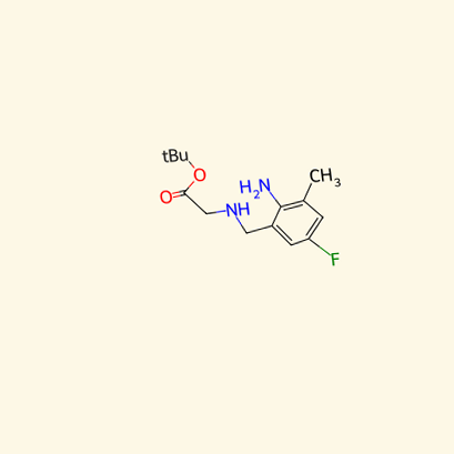 Cc1cc(F)cc(CNCC(=O)OC(C)(C)C)c1N